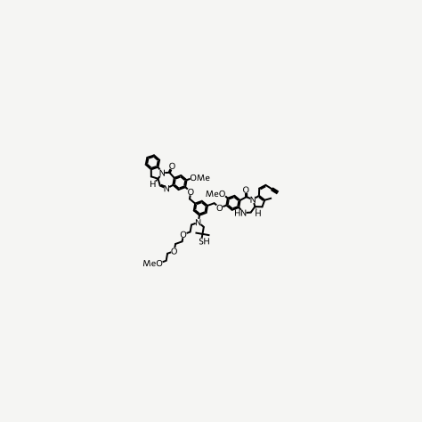 C#C/C=C\C1=C(C)C[C@H]2CNc3cc(OCc4cc(COc5cc6c(cc5OC)C(=O)N5c7ccccc7C[C@H]5C=N6)cc(N(CCOCCOCCOC)CC(C)(C)S)c4)c(OC)cc3C(=O)N12